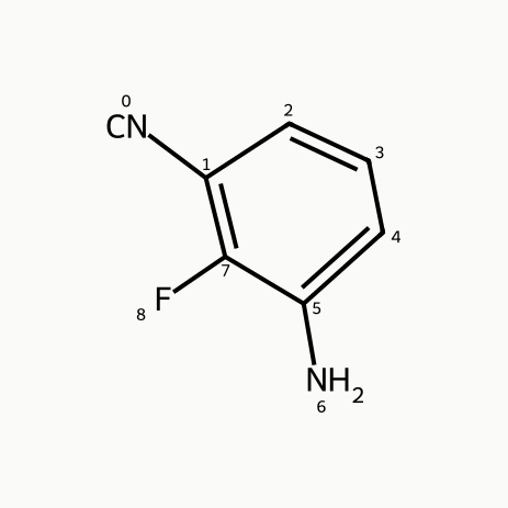 [C-]#[N+]c1cccc(N)c1F